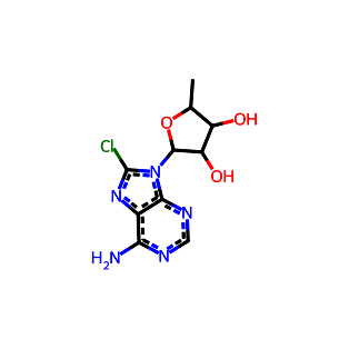 CC1OC(n2c(Cl)nc3c(N)ncnc32)C(O)C1O